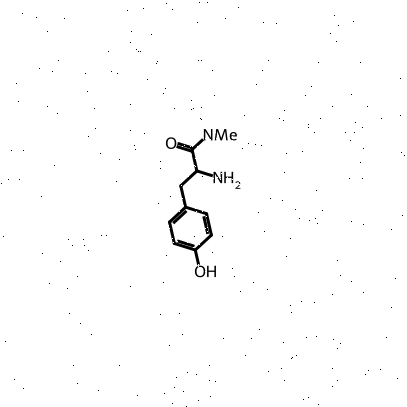 CNC(=O)C(N)Cc1ccc(O)cc1